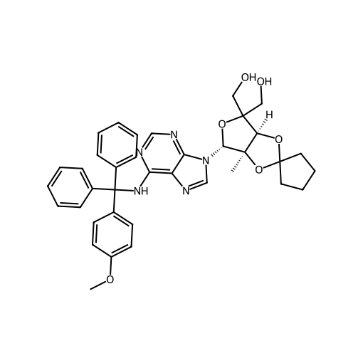 COc1ccc(C(Nc2ncnc3c2ncn3[C@@H]2OC(CO)(CO)[C@H]3OC4(CCCC4)O[C@]32C)(c2ccccc2)c2ccccc2)cc1